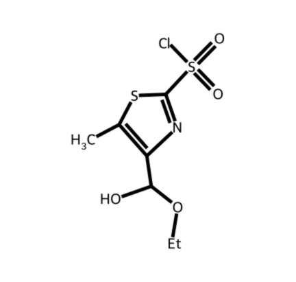 CCOC(O)c1nc(S(=O)(=O)Cl)sc1C